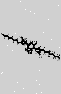 CCCCCCCCc1cc(-c2cc(C)c(-c3cc(CCCCCCCC)c(C)s3)c3nsnc23)sc1C